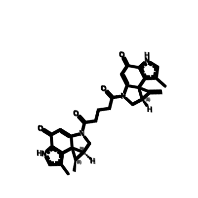 C=C1[C@@H]2CN(C(=O)CCCC(=O)N3C[C@H]4[C@@H](C)C45C3=CC(=O)c3[nH]cc(C)c35)C3=CC(=O)c4[nH]cc(C)c4C132